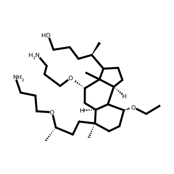 CCO[C@@H]1CC[C@@](C)(CC[C@H](C)OCCCN)[C@H]2C[C@H](OCCCN)C3(C)C([C@H](C)CCCO)CC[C@H]3C12